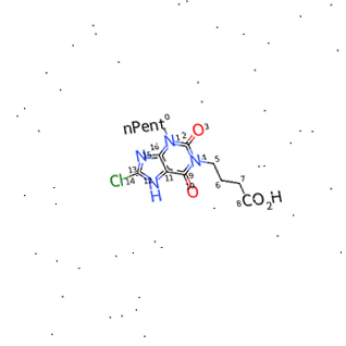 CCCCCn1c(=O)n(CCCC(=O)O)c(=O)c2[nH]c(Cl)nc21